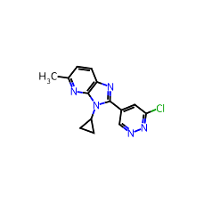 Cc1ccc2nc(-c3cnnc(Cl)c3)n(C3CC3)c2n1